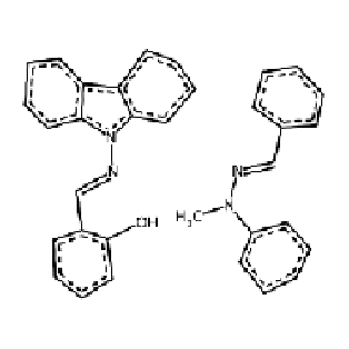 CN(N=Cc1ccccc1)c1ccccc1.Oc1ccccc1C=Nn1c2ccccc2c2ccccc21